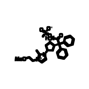 COCC[n+]1ccn([C@H]2CC[C@@H](C(C(N)=O)(c3ccccc3)c3ccccc3)C2)c1C.CS(=O)(=O)[O-]